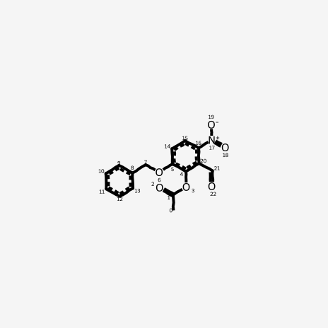 CC(=O)Oc1c(OCc2ccccc2)ccc([N+](=O)[O-])c1C=O